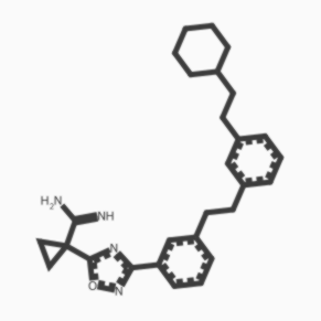 N=C(N)C1(c2nc(-c3cccc(CCc4cccc(CCC5CCCCC5)c4)c3)no2)CC1